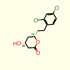 O=C1C[C@H](O)C[C@H](CCc2ccc(Cl)cc2Cl)O1